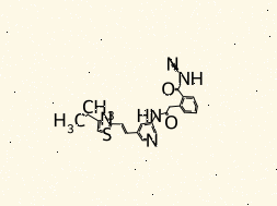 CC(C)c1csc(C=Cc2cncc(NC(=O)Cc3ccccc3C(=O)NC#N)c2)n1